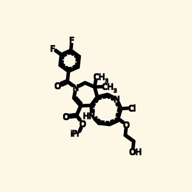 CC(C)OC(=O)C1=CN(C(=O)c2ccc(F)c(F)c2)CC(C)(C)c2cnc(Cl)c(OCCO)cc[nH]c21